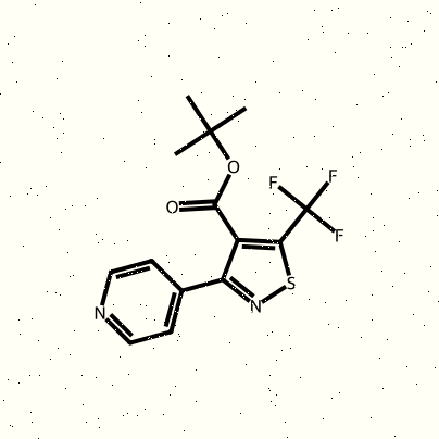 CC(C)(C)OC(=O)c1c(-c2ccncc2)nsc1C(F)(F)F